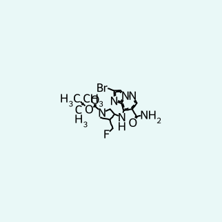 CC(C)(C)OC(=O)N1CC(CF)C(Nc2c(C(N)=O)cnn3cc(Br)nc23)C1